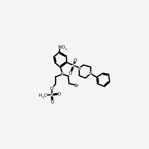 CS(=O)(=O)OCCN(CCBr)c1ccc([N+](=O)[O-])cc1S(=O)(=O)N1CCN(c2ccccc2)CC1